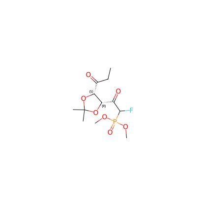 CCC(=O)[C@H]1OC(C)(C)O[C@H]1C(=O)C(F)P(=O)(OC)OC